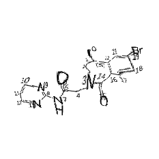 C[C@@H]1CN(CC(=O)Nc2ncccn2)C(=O)c2ccc(Br)cc21